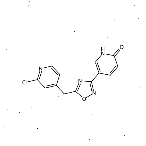 O=c1ccc(-c2noc(Cc3ccnc(Cl)c3)n2)c[nH]1